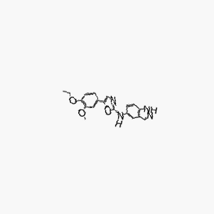 CCOc1ccc(-c2cnc(Nc3ccc4[nH]ncc4c3)o2)cc1OC